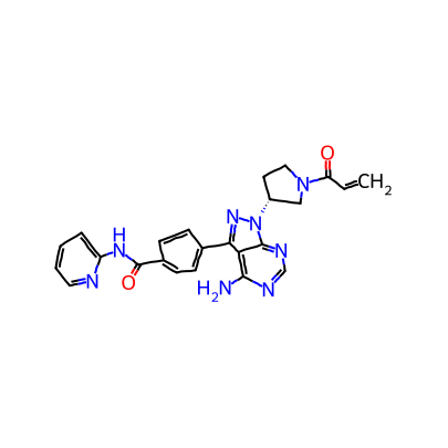 C=CC(=O)N1CC[C@@H](n2nc(-c3ccc(C(=O)Nc4ccccn4)cc3)c3c(N)ncnc32)C1